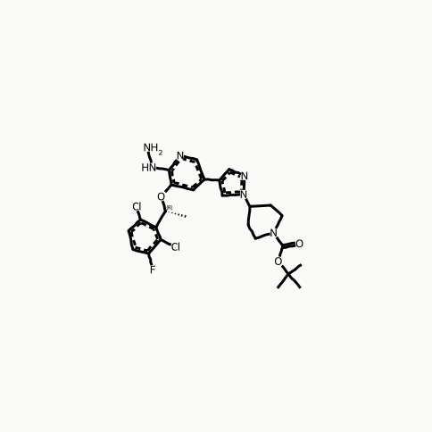 C[C@@H](Oc1cc(-c2cnn(C3CCN(C(=O)OC(C)(C)C)CC3)c2)cnc1NN)c1c(Cl)ccc(F)c1Cl